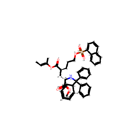 C/C=C(\C)OC(=O)[C@@H](CCCOS(=O)(=O)c1cccc2ccccc12)C[C@H](NC(c1ccccc1)(c1ccccc1)C1C=CC=CC1)C(=O)OC(C)(C)C